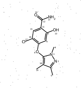 Cc1nn(C)c(Oc2cc(O)c(C(N)=O)cc2Cl)c1C